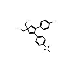 CS(=O)(=O)c1ccc(C2=CC(CO)(CO)C=C2c2ccc(C(F)(F)F)cc2)cc1